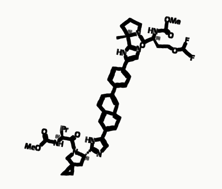 COC(=O)N[C@@H](CCOC(F)F)C(=O)N1CCC[C@@]1(C)c1ncc(-c2ccc(-c3ccc4cc(-c5cnc([C@@H]6CC7(CC7)CN6C(=O)[C@@H](NC(=O)OC)C(C)C)[nH]5)ccc4c3)cc2)[nH]1